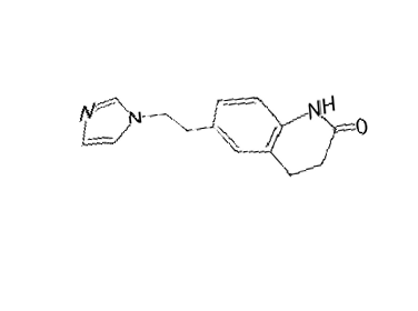 O=C1CCc2cc(CCn3ccnc3)ccc2N1